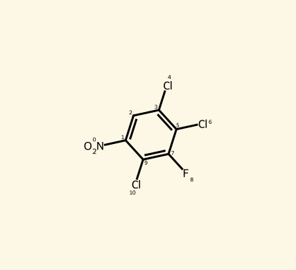 O=[N+]([O-])c1cc(Cl)c(Cl)c(F)c1Cl